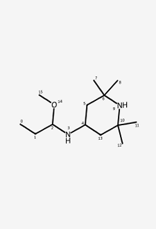 CCC(NC1CC(C)(C)NC(C)(C)C1)OC